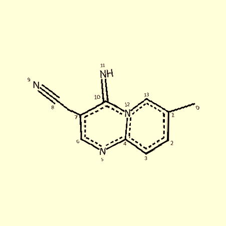 Cc1ccc2ncc(C#N)c(=N)n2c1